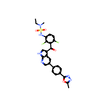 CCN(C)S(=O)(=O)Nc1ccc(F)c(C(=O)c2c[nH]c3ncc(-c4ccc(-c5nnc(C)o5)cc4)cc23)c1F